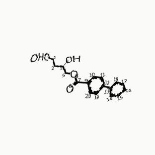 O=CCC[C@H](O)COC(=O)c1ccc(-c2ccccc2)cc1